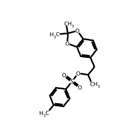 Cc1ccc(S(=O)(=O)OC(C)Cc2ccc3c(c2)OC(C)(C)O3)cc1